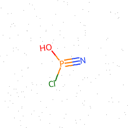 N#P(O)Cl